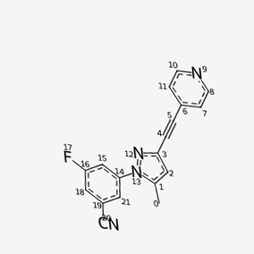 Cc1cc(C#Cc2ccncc2)nn1-c1cc(F)cc(C#N)c1